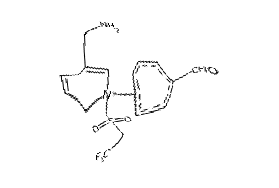 NCC1=C[N+](c2ccc(C=O)cc2)(S(=O)(=O)CC(F)(F)F)CC=C1